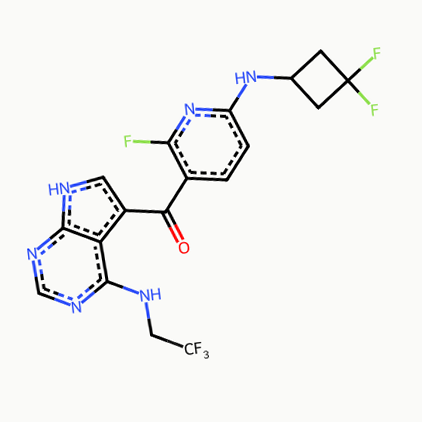 O=C(c1ccc(NC2CC(F)(F)C2)nc1F)c1c[nH]c2ncnc(NCC(F)(F)F)c12